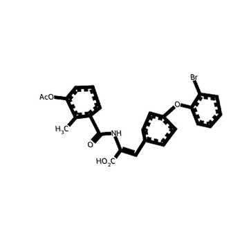 CC(=O)Oc1cccc(C(=O)N/C(=C\c2ccc(Oc3ccccc3Br)cc2)C(=O)O)c1C